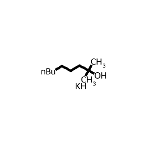 CCCCCCCC(C)(C)O.[KH]